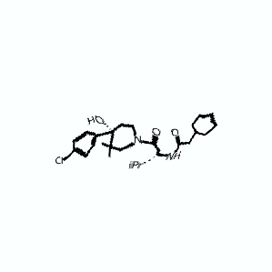 CC(C)[C@@H](NC(=O)CC1CCCCC1)C(=O)N1CC[C@](O)(c2ccc(Cl)cc2)C(C)(C)C1